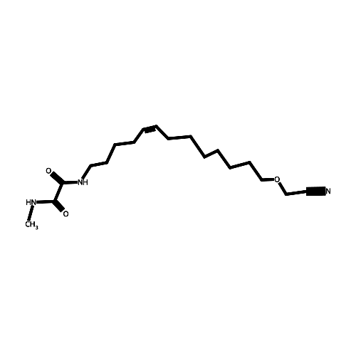 CNC(=O)C(=O)NCCCC/C=C\CCCCCCCOCC#N